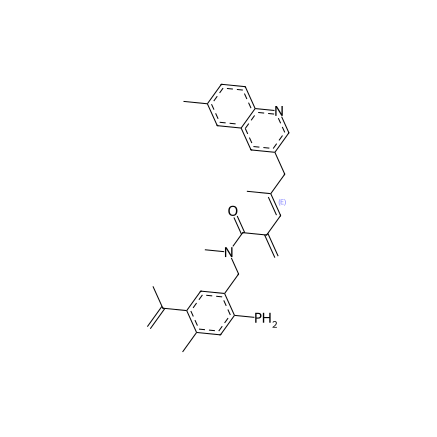 C=C(/C=C(\C)Cc1cnc2ccc(C)cc2c1)C(=O)N(C)Cc1cc(C(=C)C)c(C)cc1P